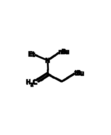 C=C(CC(C)(C)C)N(CC)CCCC